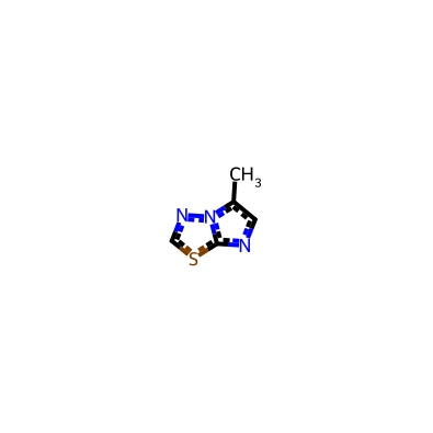 Cc1cnc2scnn12